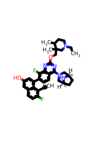 C#Cc1c(F)ccc2cc(O)cc(-c3c(F)cc4c(N5C[C@H]6CC[C@@H](C5)N6)nc(OCC5(C)CN(CC)CCC5C)nc4c3F)c12